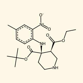 CCOC(=O)[C@H]1CNCC[C@]1(Nc1ccc(C)cc1[N+](=O)[O-])C(=O)OC(C)(C)C